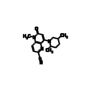 CC1CCC(C)N(c2cc(=O)n(C)c3ccc(C#N)nc23)C1